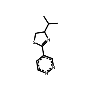 CC(C)C1CSC(c2ccnnc2)=N1